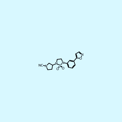 N#CN1CCC(N2CCN(c3cccc(-c4ccno4)c3)S2(=O)=O)C1